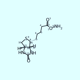 NOC(=O)CCCC[C@H]1SC[C@H]2NC(=O)N[C@H]21